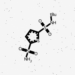 CC(C)(C)NS(=O)(=O)c1ccc(S(N)(=O)=O)s1